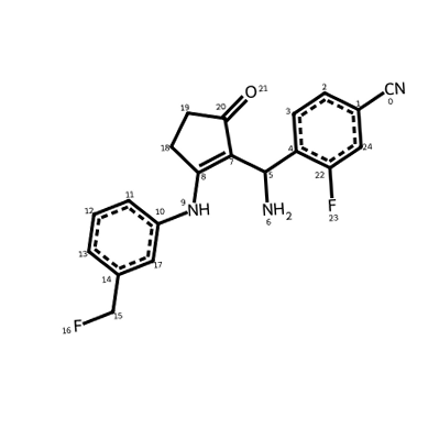 N#Cc1ccc(C(N)C2=C(Nc3cccc(CF)c3)CCC2=O)c(F)c1